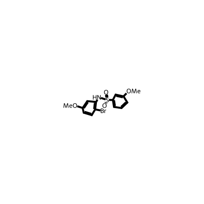 COc1cccc(S(=O)(=O)Nc2cc(OC)ccc2Br)c1